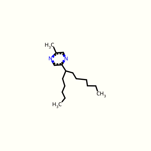 CCCCCCC(CCCCC)c1cnc(C)cn1